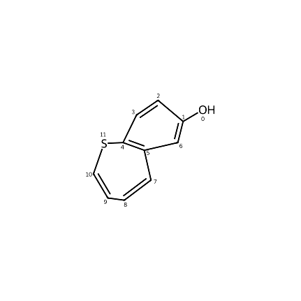 Oc1ccc2c(c1)C=CC=CS2